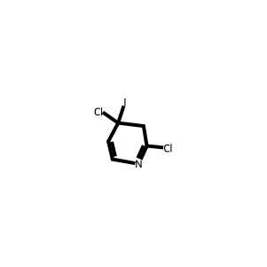 ClC1=NC=CC(Cl)(I)C1